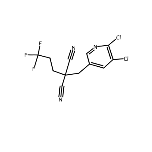 N#CC(C#N)(CCC(F)(F)F)Cc1cnc(Cl)c(Cl)c1